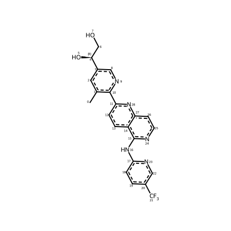 Cc1cc([C@@H](O)CO)cnc1-c1ccc2c(Nc3ccc(C(F)(F)F)cn3)nccc2n1